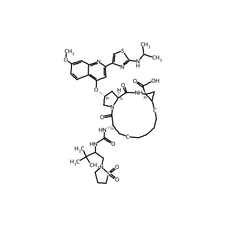 COc1ccc2c(O[C@@H]3C[C@H]4C(=O)N[C@]5(C(=O)O)CC5CCCCCCC[C@H](NC(=O)NC(CN5CCCS5(=O)=O)C(C)(C)C)C(=O)N4C3)cc(-c3csc(NC(C)C)n3)nc2c1